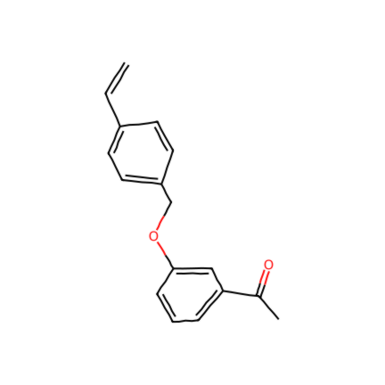 C=Cc1ccc(COc2cccc(C(C)=O)c2)cc1